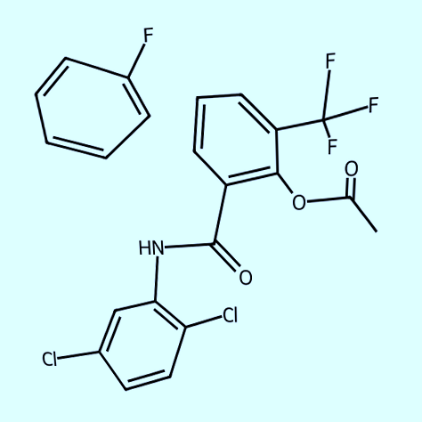 CC(=O)Oc1c(C(=O)Nc2cc(Cl)ccc2Cl)cccc1C(F)(F)F.Fc1ccccc1